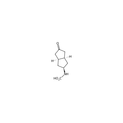 O=C1C[C@@H]2C[C@H](NC(=O)O)C[C@@H]2C1